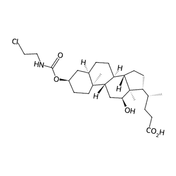 C[C@H](CCC(=O)O)[C@H]1CC[C@H]2[C@@H]3CC[C@@H]4C[C@H](OC(=O)NCCCl)CC[C@]4(C)[C@H]3C[C@H](O)[C@]12C